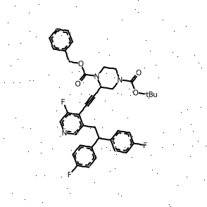 CC(C)(C)OC(=O)N1CCN(C(=O)OCc2ccccc2)C(C#Cc2c(F)cncc2CC(c2ccc(F)cc2)c2ccc(F)cc2)C1